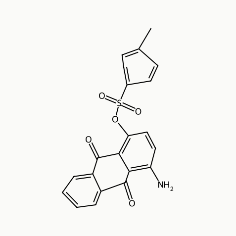 Cc1ccc(S(=O)(=O)Oc2ccc(N)c3c2C(=O)c2ccccc2C3=O)cc1